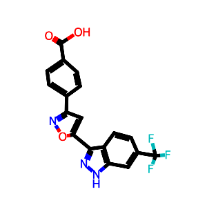 O=C(O)c1ccc(-c2cc(-c3n[nH]c4cc(C(F)(F)F)ccc34)on2)cc1